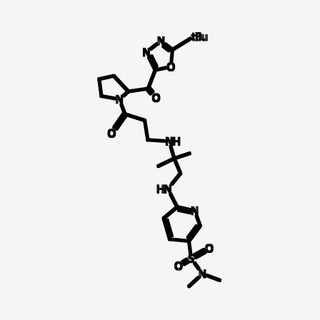 CN(C)S(=O)(=O)c1ccc(NCC(C)(C)NCCC(=O)N2CCCC2C(=O)c2nnc(C(C)(C)C)o2)nc1